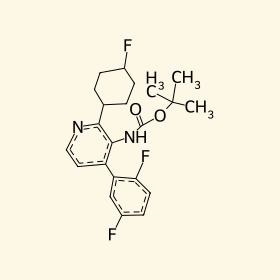 CC(C)(C)OC(=O)Nc1c(-c2cc(F)ccc2F)ccnc1C1CCC(F)CC1